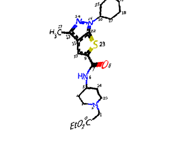 CCOC(=O)CN1CCC(NC(=O)c2cc3c(C)nn(C4CCCCC4)c3s2)CC1